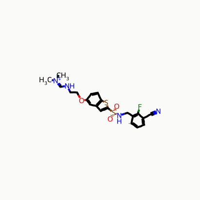 C[N+](C)=CNCCOc1ccc2sc(S(=O)(=O)NCc3[c]ccc(C#N)c3F)cc2c1